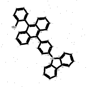 CC(C)(C)c1ccccc1-c1c2ccccc2c(-c2ccc(-n3c4ccccc4c4ccccc43)cc2)c2ccccc12